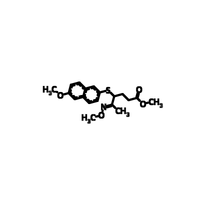 CON=C(C)C(CCC(=O)OC)Sc1ccc2cc(OC)ccc2c1